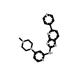 CN1CCN(c2ccnc(Nc3nc4ccc(-c5ccncc5)nc4s3)c2)CC1